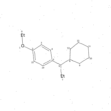 CCOc1ccc(C(CC)C2CCCCC2)cc1